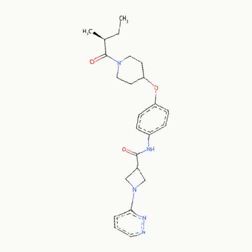 CC[C@H](C)C(=O)N1CCC(Oc2ccc(NC(=O)C3CN(c4cccnn4)C3)cc2)CC1